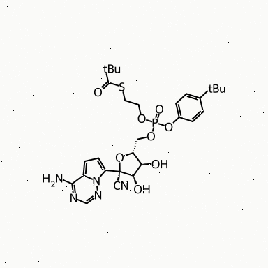 CC(C)(C)C(=O)SCCOP(=O)(OC[C@H]1O[C@@](C#N)(c2ccc3c(N)ncnn23)[C@H](O)[C@@H]1O)Oc1ccc(C(C)(C)C)cc1